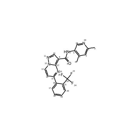 Cc1cc(C)c(NC(=O)c2cnn3ccc(-c4ccccc4C(F)(F)F)nc23)cn1